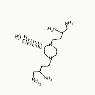 Cl.Cl.Cl.Cl.Cl.Cl.NCC(N)CCN1CCN(CCC(N)CN)CC1